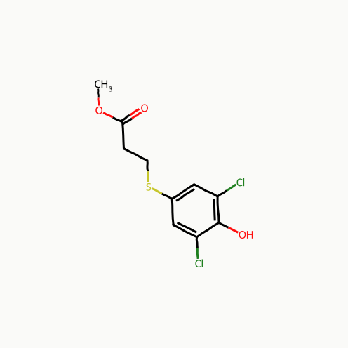 COC(=O)CCSc1cc(Cl)c(O)c(Cl)c1